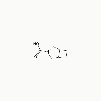 O=C(O)N1CC2CCC2C1